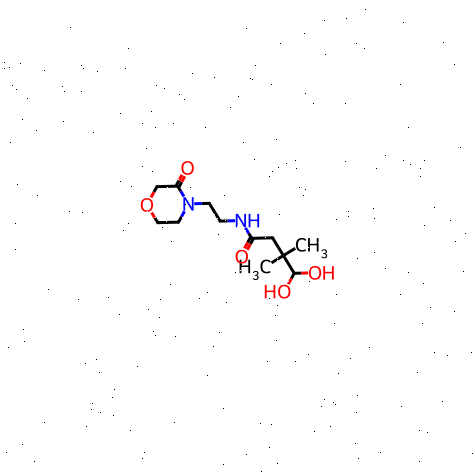 CC(C)(CC(=O)NCCN1CCOCC1=O)C(O)O